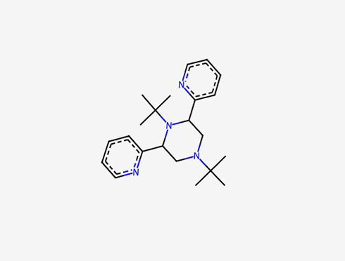 CC(C)(C)N1CC(c2ccccn2)N(C(C)(C)C)C(c2ccccn2)C1